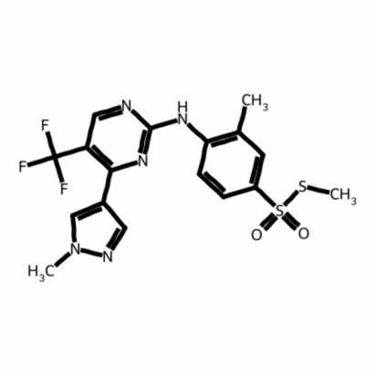 CSS(=O)(=O)c1ccc(Nc2ncc(C(F)(F)F)c(-c3cnn(C)c3)n2)c(C)c1